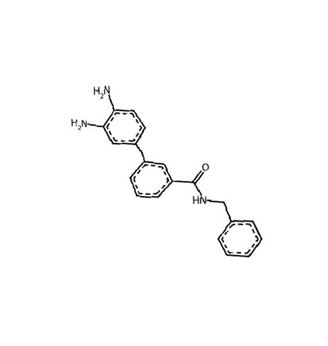 Nc1ccc(-c2cccc(C(=O)NCc3ccccc3)c2)cc1N